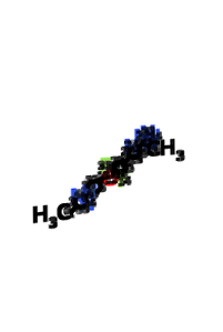 CCc1cnc(N2CCC(COc3c(F)cc(-c4ccc(-c5nnnn5C)nc4)cc3F)CC2)nc1